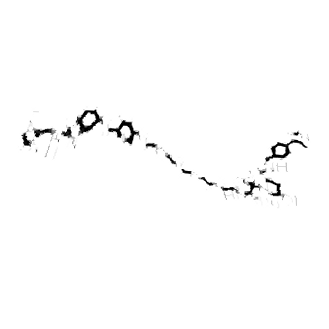 Cc1ncsc1-c1ccc(CNC(=O)[C@@H]2C[C@@H](O)CN2C(=O)[C@@H](NC(=O)COCCOCCOCCOCCOc2ccc(COc3ccc4oc(NCc5ncc[nH]5)nc4c3)nc2)C(C)(C)C)cc1